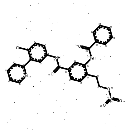 O=C(Nc1ccc(Cl)c(-c2ccccn2)c1)c1ccc(CCO[SH](=O)=O)c(NC(=O)c2ccccc2)c1